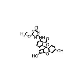 COc1nc(Cl)nc(Nc2cccc3c2C(=O)OC32c3ccc(O)cc3Oc3cc(O)ccc32)n1